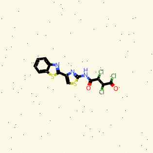 O=C(Cl)C(Cl)C(Cl)C(=O)Nc1nc(-c2nc3ccccc3s2)cs1